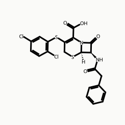 O=C(Cc1ccccc1)N[C@@H]1C(=O)N2C(C(=O)O)=C(Sc3cc(Cl)ccc3Cl)CS[C@H]12